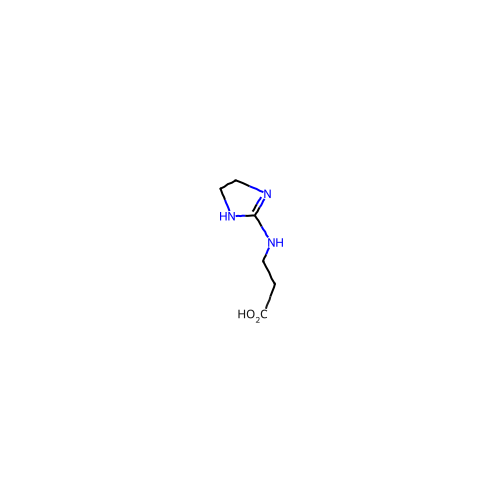 O=C(O)CCNC1=NCCN1